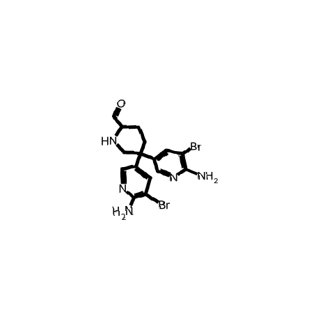 Nc1ncc(C2(c3cnc(N)c(Br)c3)CCC(C=O)NC2)cc1Br